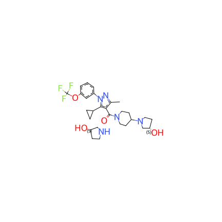 Cc1nn(-c2cccc(OC(F)(F)F)c2)c(C2CC2)c1C(=O)N1CCC(N2CC[C@H](O)C2)CC1.O[C@H]1CCNC1